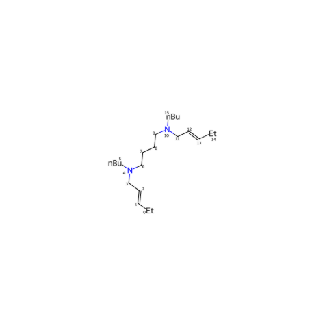 CCC=CCN(CCCC)CCCCN(CC=CCC)CCCC